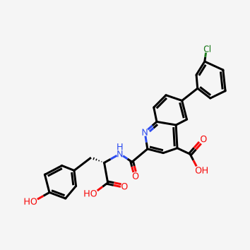 O=C(N[C@@H](Cc1ccc(O)cc1)C(=O)O)c1cc(C(=O)O)c2cc(-c3cccc(Cl)c3)ccc2n1